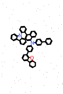 C1=Cc2c(oc3c(-c4ccc(N(c5ccc(-c6ccccc6)cc5)c5ccc(-c6ccccc6-n6c7ccccc7c7ccccc76)c6ccccc56)cc4)cccc23)CC1